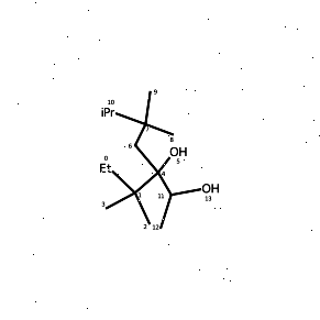 CCC(C)(C)C(O)(CC(C)(C)C(C)C)C(C)O